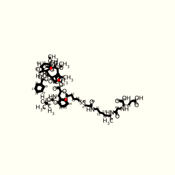 CO[C@H]1C(=O)[C@]2(C)[C@@H](OC)C[C@H]3OC[C@@]3(OC(C)=O)[C@H]2[C@@](C)(OC(=O)c2ccccc2)[C@]2(O)C[C@H](OC(=O)[C@H](OC(=O)CCCSSCC(=O)NCCCC[C@@H](C)NC(=O)CN[C@@H](CCC(=O)O)C(=O)O)[C@@H](NC(=O)OC(C)(C)C)c3ccccc3)C(C)=C1C2(C)C